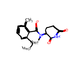 CCCCCN(C(=O)c1c(C)cccc1COC)C1CCC(=O)NC1=O